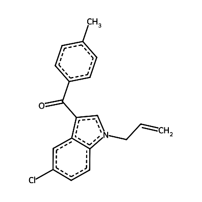 C=CCn1cc(C(=O)c2ccc(C)cc2)c2cc(Cl)ccc21